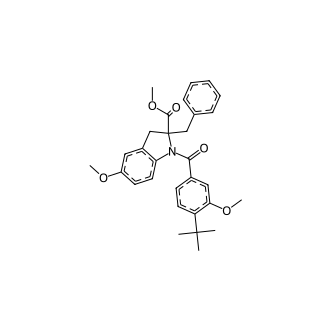 COC(=O)C1(Cc2ccccc2)Cc2cc(OC)ccc2N1C(=O)c1ccc(C(C)(C)C)c(OC)c1